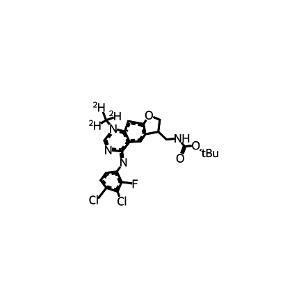 [2H]C([2H])([2H])n1cn/c(=N\c2ccc(Cl)c(Cl)c2F)c2cc3c(cc21)OCC3CNC(=O)OC(C)(C)C